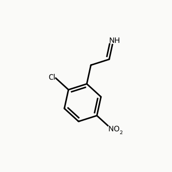 N=CCc1cc([N+](=O)[O-])ccc1Cl